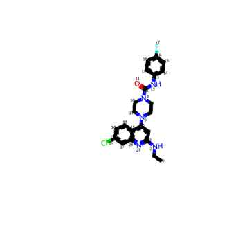 CCNc1cc(N2CCN(C(=O)Nc3ccc(F)cc3)CC2)c2ccc(Cl)cc2n1